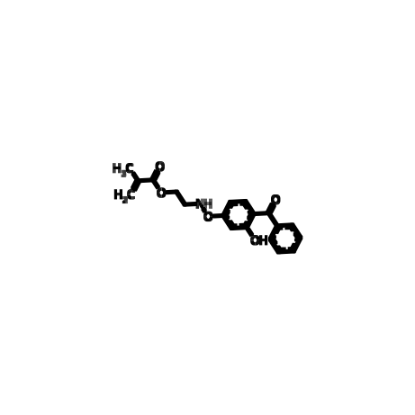 C=C(C)C(=O)OCCNOc1ccc(C(=O)c2ccccc2)c(O)c1